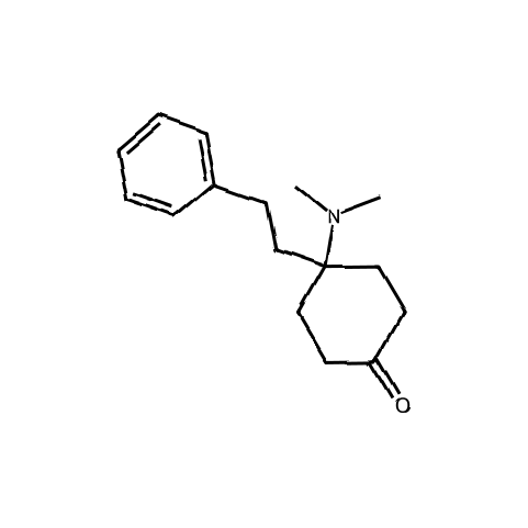 CN(C)C1(CCc2ccccc2)CCC(=O)CC1